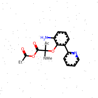 CCC(=O)OC(=O)C(NC)(Oc1c(N)cccc1-c1ccccn1)C(C)=O